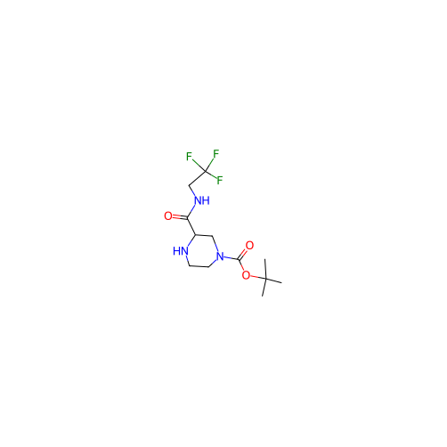 CC(C)(C)OC(=O)N1CCNC(C(=O)NCC(F)(F)F)C1